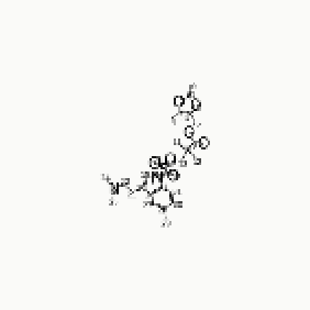 C=C1OC(C)=C(COC(=O)C(C)(C)COS(=O)(=O)n2cc(CCN(C)C)c3cc(C)ccc32)O1